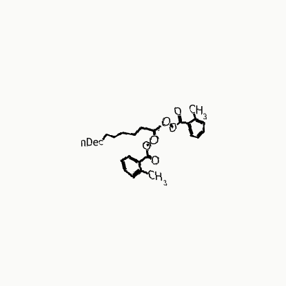 [CH2]CCCCCCCCCCCCCC[C](OOC(=O)c1ccccc1C)OOC(=O)c1ccccc1C